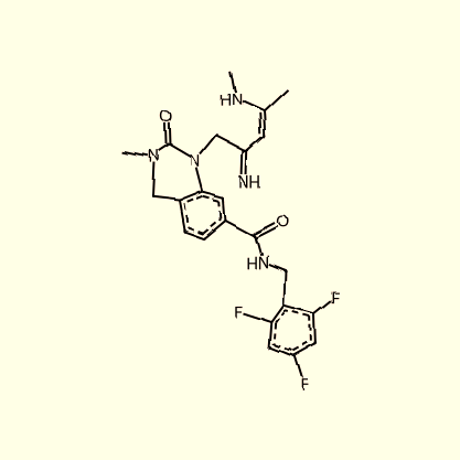 CN/C(C)=C\C(=N)CN1C(=O)N(C)Cc2ccc(C(=O)NCc3c(F)cc(F)cc3F)cc21